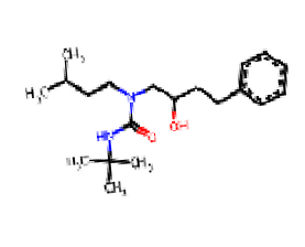 CC(C)CCN(CC(O)[CH]Cc1ccccc1)C(=O)NC(C)(C)C